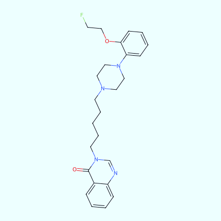 O=c1c2ccccc2ncn1CCCCCN1CCN(c2ccccc2OCCF)CC1